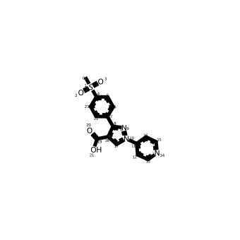 CS(=O)(=O)c1ccc(-c2nn(-c3ccncc3)cc2C(=O)O)cc1